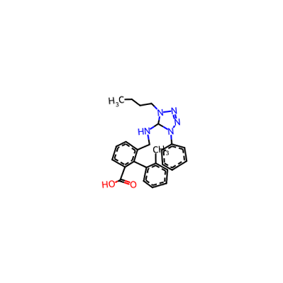 CCCCN1N=NN(c2ccccc2)C1NCc1cccc(C(=O)O)c1-c1ccccc1C